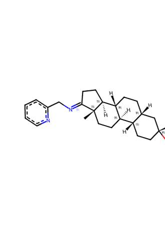 C[C@@]1(O)CC[C@H]2[C@H](CC[C@@H]3[C@@H]2CC[C@]2(C)/C(=N/Cc4ccccn4)CC[C@@H]32)C1